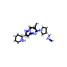 C=NC[C@H]1CCN(c2nc3cc([C@@H]4CCCCN4)nn3cc2C)C1